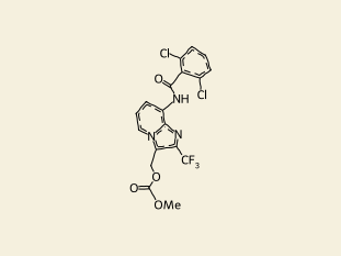 COC(=O)OCc1c(C(F)(F)F)nc2c(NC(=O)c3c(Cl)cccc3Cl)cccn12